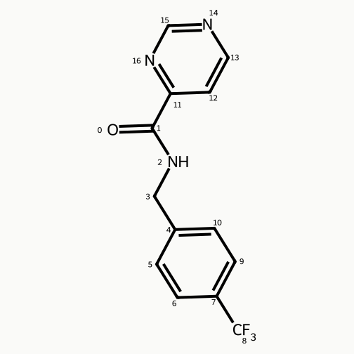 O=C(NCc1ccc(C(F)(F)F)cc1)c1ccncn1